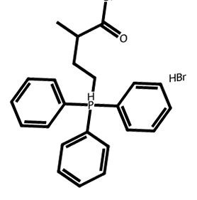 Br.CC(CC[PH](c1ccccc1)(c1ccccc1)c1ccccc1)C(=O)O